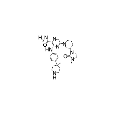 CN1CCN(C2CCCN(c3cnc(C(N)=O)c(Nc4ccc(C5(C)CCNCC5)cc4)n3)C2)C1=O